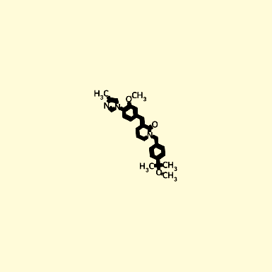 COc1cc(/C=C2\CCCN(Cc3ccc(C(C)(C)OC)cc3)C2=O)ccc1-n1cnc(C)c1